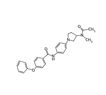 CC(=O)N(C)C1CCN(c2ccc(NC(=O)c3ccc(Oc4ccccc4)cc3)cc2)C1